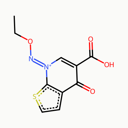 CCON=[N+]1C=C(C(=O)O)C(=O)c2ccsc21